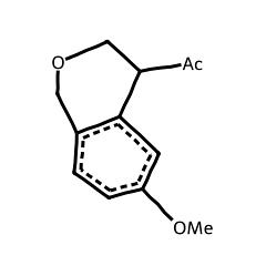 COc1ccc2c(c1)C(C(C)=O)COC2